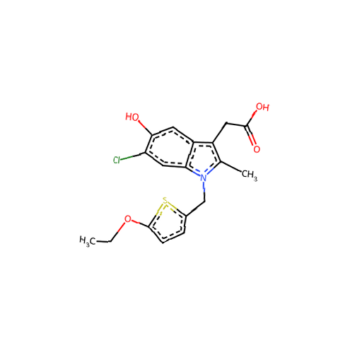 CCOc1ccc(Cn2c(C)c(CC(=O)O)c3cc(O)c(Cl)cc32)s1